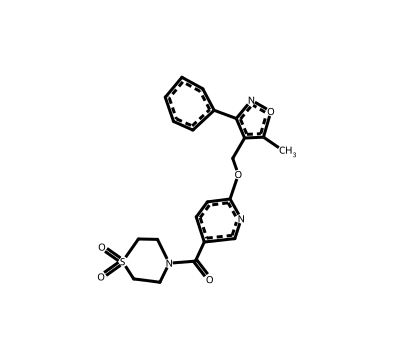 Cc1onc(-c2ccccc2)c1COc1ccc(C(=O)N2CCS(=O)(=O)CC2)cn1